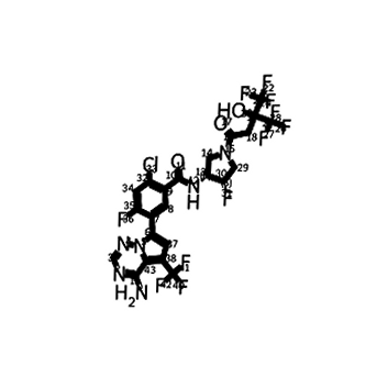 Nc1ncnn2c(-c3cc(C(=O)N[C@@H]4CN(C(=O)CC(O)(C(F)(F)F)C(F)(F)F)C[C@@H]4F)c(Cl)cc3F)cc(C(F)(F)F)c12